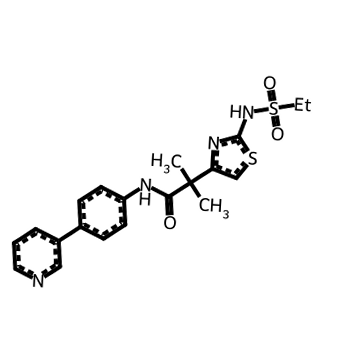 CCS(=O)(=O)Nc1nc(C(C)(C)C(=O)Nc2ccc(-c3cccnc3)cc2)cs1